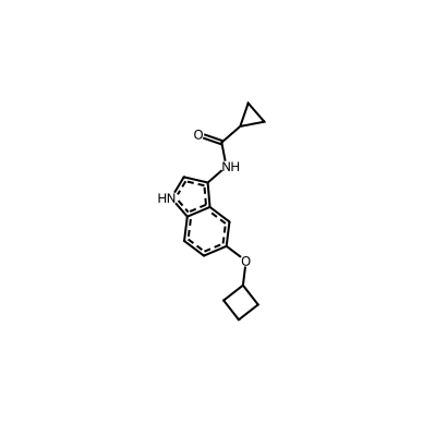 O=C(Nc1c[nH]c2ccc(OC3CCC3)cc12)C1CC1